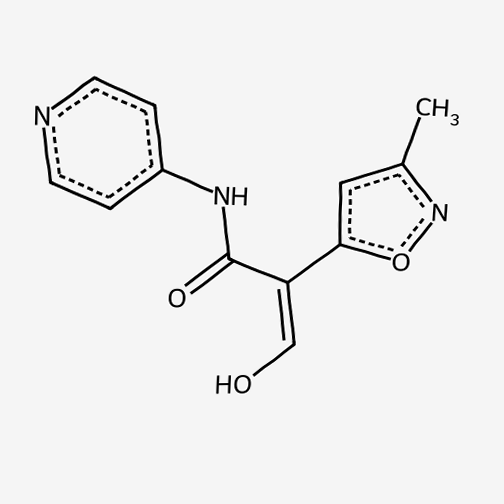 Cc1cc(/C(=C/O)C(=O)Nc2ccncc2)on1